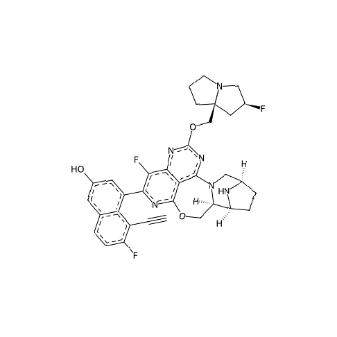 C#Cc1c(F)ccc2cc(O)cc(-c3nc4c5c(nc(OC[C@@]67CCCN6C[C@@H](F)C7)nc5c3F)N3C[C@H]5CC[C@H](N5)[C@H]3CO4)c12